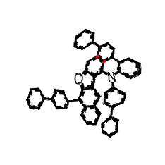 c1ccc(-c2ccc(-c3ccccc3N(c3ccc(-c4ccccc4)cc3)c3cccc4oc5c(-c6ccc(-c7ccccc7)cc6)c6ccccc6cc5c34)cc2)cc1